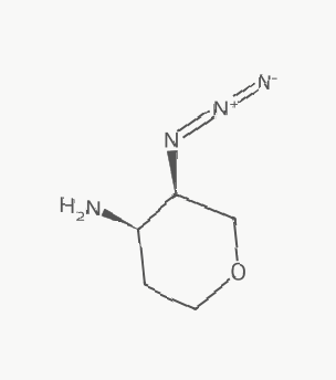 [N-]=[N+]=N[C@H]1COCC[C@H]1N